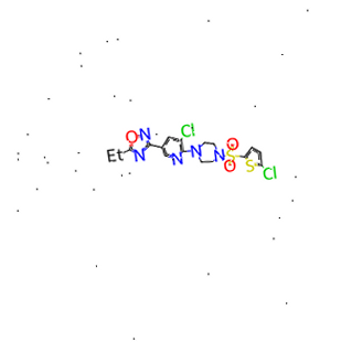 CCc1nc(-c2cnc(N3CCN(S(=O)(=O)c4ccc(Cl)s4)CC3)c(Cl)c2)no1